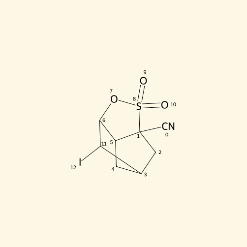 N#CC12CC3CC1C(OS2(=O)=O)C3I